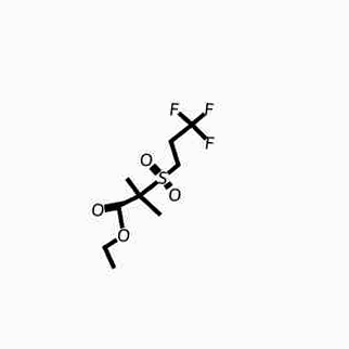 CCOC(=O)C(C)(C)S(=O)(=O)CCC(F)(F)F